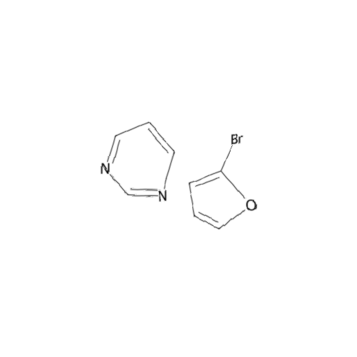 Brc1ccco1.c1cncnc1